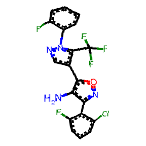 Nc1c(-c2c(F)cccc2Cl)noc1-c1cnn(-c2ccccc2F)c1C(F)(F)F